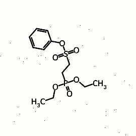 CCOP(=O)(CCS(=O)(=O)Oc1ccccc1)OCC